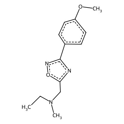 CCN(C)Cc1nc(-c2ccc(OC)cc2)no1